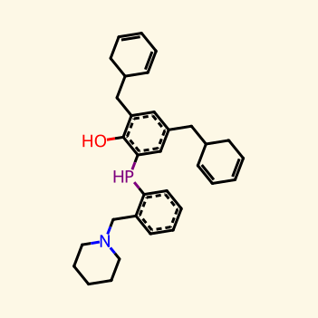 Oc1c(CC2C=CC=CC2)cc(CC2C=CC=CC2)cc1Pc1ccccc1CN1CCCCC1